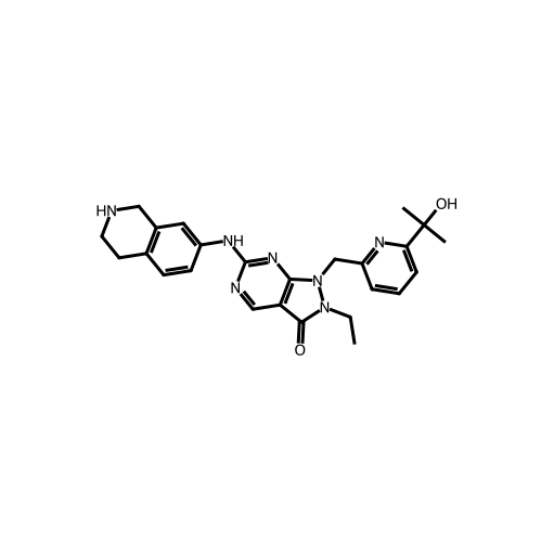 CCn1c(=O)c2cnc(Nc3ccc4c(c3)CNCC4)nc2n1Cc1cccc(C(C)(C)O)n1